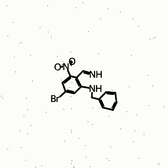 N=Cc1c(NCc2ccccc2)cc(Br)cc1[N+](=O)[O-]